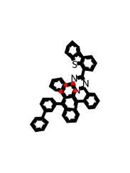 c1ccc(-c2cccc(-c3c4ccccc4c(-c4ccccc4-c4nc(-c5ccccc5)nc(-c5cccc6c5sc5ccccc56)n4)c4ccccc34)c2)cc1